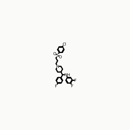 O=S(=O)(CCCN1CCC(C(Nc2ccc(F)c(F)c2)c2ccc(F)cc2)CC1)c1ccc(Cl)cc1